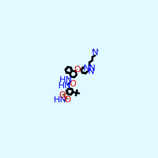 CNS(=O)(=O)c1cc(NC(=O)N[C@H]2CC[C@@H](Oc3ccc4nnc(CCCCN(C)C)n4c3)c3ccccc32)cc(C(C)(C)C)c1